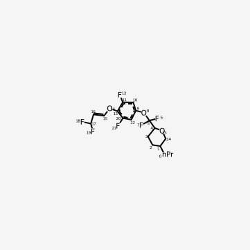 CCCC1CCC(C(F)(F)Oc2cc(F)c(O/C=C/C(F)F)c(F)c2)OC1